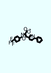 COC(=O)c1nc(-c2ccc(C(F)(F)F)cc2)oc1-c1ccc(-c2ccccc2)nc1